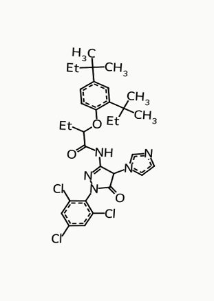 CCC(Oc1ccc(C(C)(C)CC)cc1C(C)(C)CC)C(=O)NC1=NN(c2c(Cl)cc(Cl)cc2Cl)C(=O)C1n1ccnc1